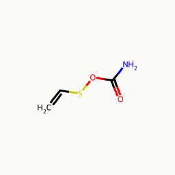 C=CSOC(N)=O